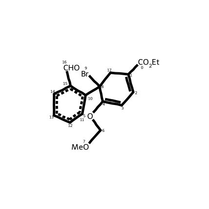 CCOC(=O)C1=CC=C(OCOC)C(Br)(c2ccccc2C=O)C1